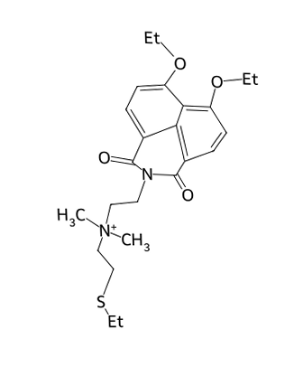 CCOc1ccc2c3c(ccc(OCC)c13)C(=O)N(CC[N+](C)(C)CCSCC)C2=O